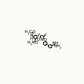 CC(=O)Nc1ccc(Oc2nc(Oc3cccc(-c4cccc(C(=N)N)c4)c3)c(F)cc2F)c(C(N)=O)c1